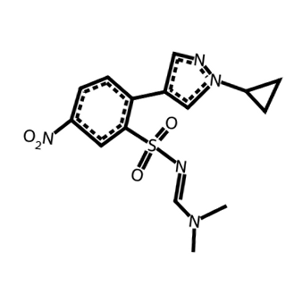 CN(C)C=NS(=O)(=O)c1cc([N+](=O)[O-])ccc1-c1cnn(C2CC2)c1